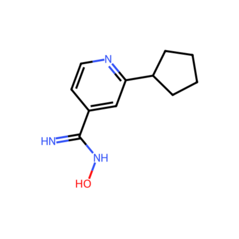 N=C(NO)c1ccnc(C2CCCC2)c1